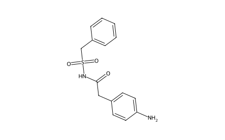 Nc1ccc(CC(=O)NS(=O)(=O)Cc2ccccc2)cc1